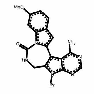 COc1ccc2cc3n(c2c1)C(=O)NCc1c-3c2c(N)ncnc2n1C(C)C